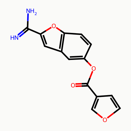 N=C(N)c1cc2cc(OC(=O)c3ccoc3)ccc2o1